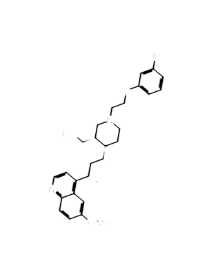 COc1ccc2nccc([C@@H](F)CC[C@@H]3CCN(CCSc4cccc(F)c4)C[C@@H]3CO)c2c1